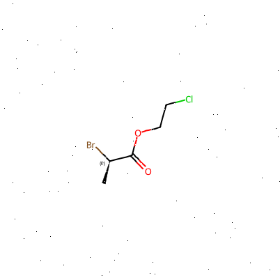 C[C@@H](Br)C(=O)OCCCl